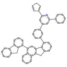 C1=CC(c2cc(-c3cccc(-c4cccc5c4-c4cc(-c6cccc7c6Cc6ccccc6-7)c6ccccc6c4C5)c3)cc(-c3ccccc3)n2)=CC1